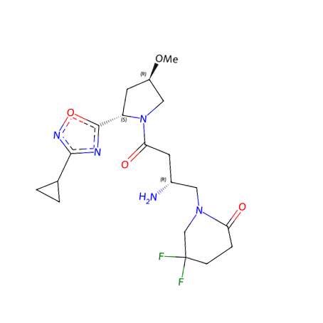 CO[C@@H]1C[C@@H](c2nc(C3CC3)no2)N(C(=O)C[C@@H](N)CN2CC(F)(F)CCC2=O)C1